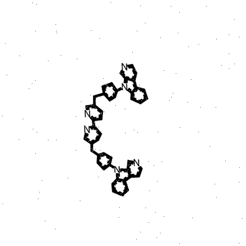 c1ccc2c(c1)c1ccncc1n2-c1ccc(Cc2ccc(-c3ccc(Cc4ccc(-n5c6ccccc6c6ccncc65)cc4)cn3)nc2)cc1